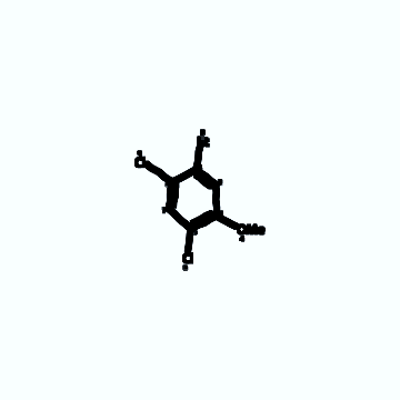 [CH2]Cc1cc(OC)c(Cl)cc1Cl